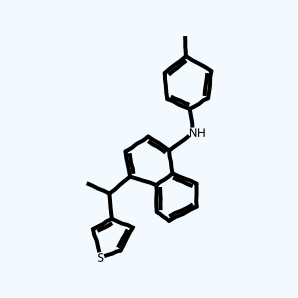 Cc1ccc(Nc2ccc(C(C)c3ccsc3)c3ccccc23)cc1